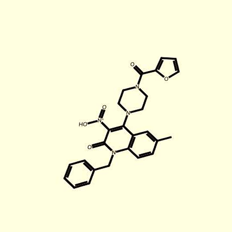 Cc1ccc2c(c1)c(N1CCN(C(=O)c3ccco3)CC1)c([N+](=O)O)c(=O)n2Cc1ccccc1